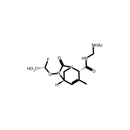 CC(=O)NCNC(=O)[C@@H]1C(C)=C[C@H]2CN1C(=O)N2O[C@@H](F)C(=O)O